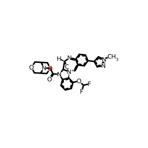 Cn1cc(-c2ccc3c(c2)=C[N@@+]24C[C@@H](N=3)C2N(C(=O)CN2C3COCC2COC3)c2cccc(OC(F)F)c24)cn1